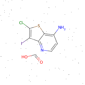 Nc1ccnc2c(I)c(Cl)sc12.O=CO